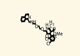 CCOC(=O)C1=C(COCCOCCNCc2nccc3ccccc23)NC(C)=C(C(=O)OC)C1c1cccc(Cl)c1Cl